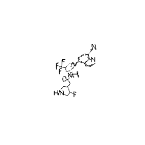 N#Cc1ccc(N2CC(C(F)(F)F)C[C@@H](NC(=O)CC3CCNCC3F)C2)c2cccnc12